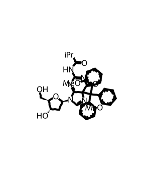 COc1ccccc1C(c1ccccc1)(c1ccccc1OC)C12N=CN([C@H]3C[C@H](O)[C@@H](CO)O3)C1=NC(NC(=O)C(C)C)=NC2=O